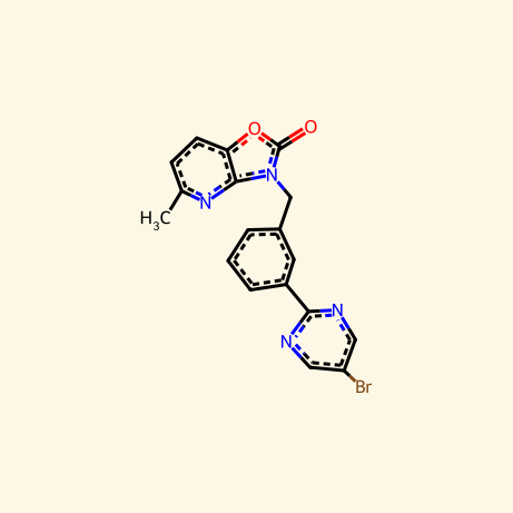 Cc1ccc2oc(=O)n(Cc3cccc(-c4ncc(Br)cn4)c3)c2n1